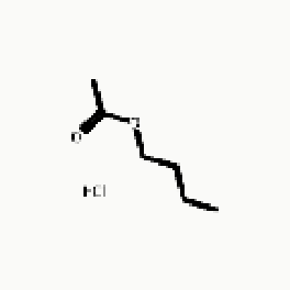 CCCCOC(C)=O.Cl